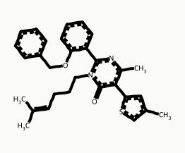 CC(C)=CCCCn1c(-c2ccccc2OCc2ccccc2)nc(C)c(-c2cc(C)cs2)c1=O